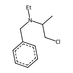 CCN(Cc1ccccc1)C(C)CCl